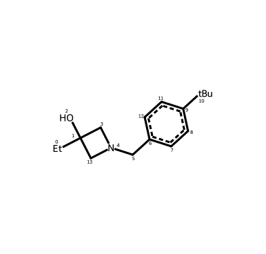 CCC1(O)CN(Cc2ccc(C(C)(C)C)cc2)C1